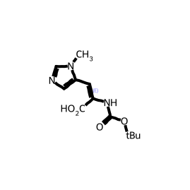 Cn1cncc1/C=C(/NC(=O)OC(C)(C)C)C(=O)O